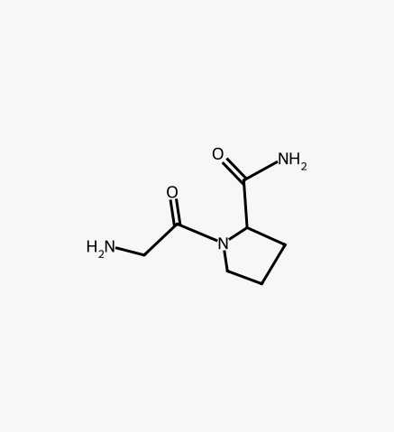 NCC(=O)N1CCCC1C(N)=O